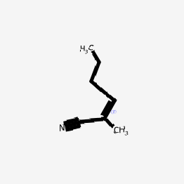 CCC/C=C(/C)C#N